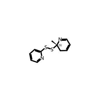 C[C@]1(SSc2ccccn2)CC=CC=N1